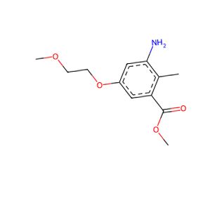 COCCOc1cc(N)c(C)c(C(=O)OC)c1